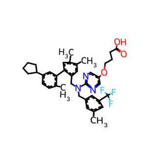 Cc1cc(CN(Cc2cc(C)c(C)cc2-c2cc(C3CCCC3)ccc2C)c2ncc(OCCCC(=O)O)cn2)cc(C(F)(F)F)c1